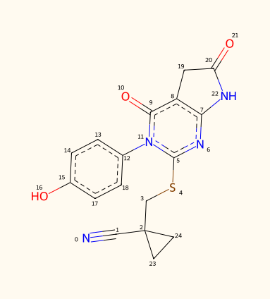 N#CC1(CSc2nc3c(c(=O)n2-c2ccc(O)cc2)CC(=O)N3)CC1